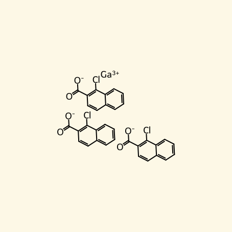 O=C([O-])c1ccc2ccccc2c1Cl.O=C([O-])c1ccc2ccccc2c1Cl.O=C([O-])c1ccc2ccccc2c1Cl.[Ga+3]